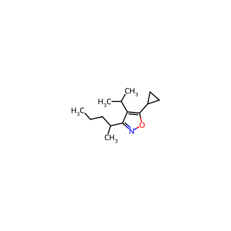 CCCC(C)c1noc(C2CC2)c1C(C)C